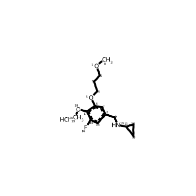 COCCCOc1cc(CNC2CC2)cc(F)c1OC.Cl